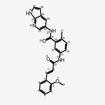 COc1ccccc1/C=C/C(=O)Nc1ccc(C)c(C(=O)Nc2cnc3[nH]ccc3c2)c1